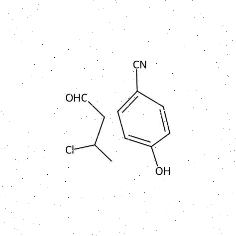 CC(Cl)CC=O.N#Cc1ccc(O)cc1